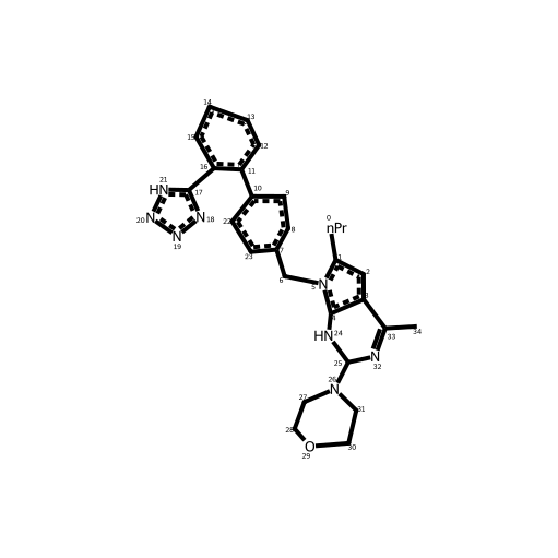 CCCc1cc2c(n1Cc1ccc(-c3ccccc3-c3nnn[nH]3)cc1)NC(N1CCOCC1)N=C2C